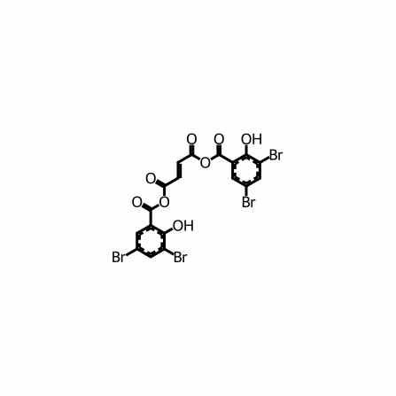 O=C(/C=C/C(=O)OC(=O)c1cc(Br)cc(Br)c1O)OC(=O)c1cc(Br)cc(Br)c1O